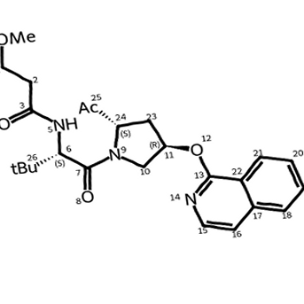 COCCC(=O)N[C@H](C(=O)N1C[C@H](Oc2nccc3ccccc23)C[C@H]1C(C)=O)C(C)(C)C